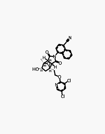 C[C@]12O[C@](CCOc3ncc(Cl)cc3Cl)(C[C@@H]1O)[C@H]1C(=O)N(c3ccc(C#N)c4ccccc34)C(=O)[C@H]12